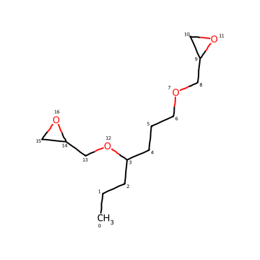 CCCC(CCCOCC1CO1)OCC1CO1